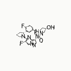 O=C(Nc1cnn2cc(F)c(N3CCC[C@@H]3c3cc(F)ccc3F)nc12)N1CC[C@H](O)C1